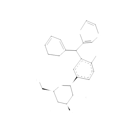 CCc1ccc([C@@H]2O[C@H](CO)[C@@H](O)[C@H](O)[C@H]2O)cc1C(C1=CC=CCC1)C1=COC=CO1